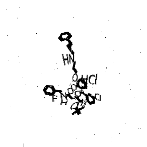 COc1c(OCCCNCC=Cc2ccccc2)cccc1[C@H]1O[C@H](CC(=O)NCc2ccccc2F)C(=O)N(CC(C)(C)C)c2ccc(Cl)cc21.Cl